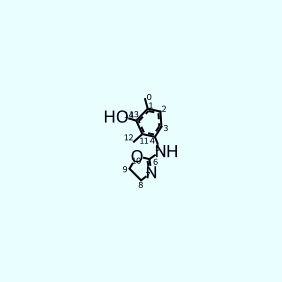 Cc1ccc(NC2=NCCO2)c(C)c1O